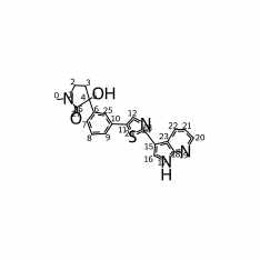 CN1CCC(O)(c2cccc(-c3cnc(-c4c[nH]c5ncccc45)s3)c2)C1=O